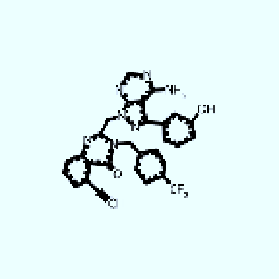 C#Cc1cccc2nc(Cn3nc(-c4cccc(O)c4)c4c(N)ncnc43)n(Cc3ccc(C(F)(F)F)cc3)c(=O)c12